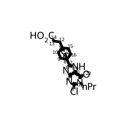 CCCn1c(Cl)nc2nc(C34CCC(CCC(=O)O)(CC3)CC4)[nH]c2c1=O